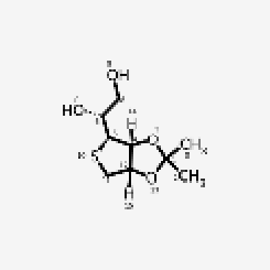 CC1(C)O[C@H]2[C@H]([C@H](O)CO)SC[C@H]2O1